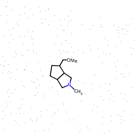 COCC1CCC2CN(C)CC12